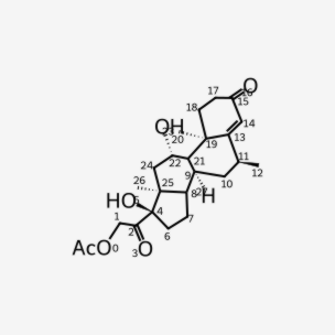 CC(=O)OCC(=O)[C@@]1(O)CCC2[C@@H]3C[C@H](C)C4=CC(=O)CC[C@]4(C)C3[C@@H](O)C[C@@]21C